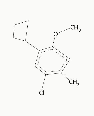 COc1cc(C)c(Cl)cc1C1CCC1